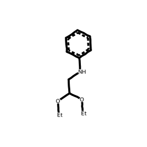 CCOC(CNc1ccccc1)OCC